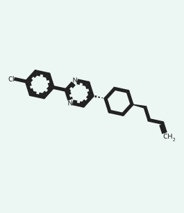 C=CCC[C@H]1CC[C@H](c2cnc(-c3ccc(Cl)cc3)nc2)CC1